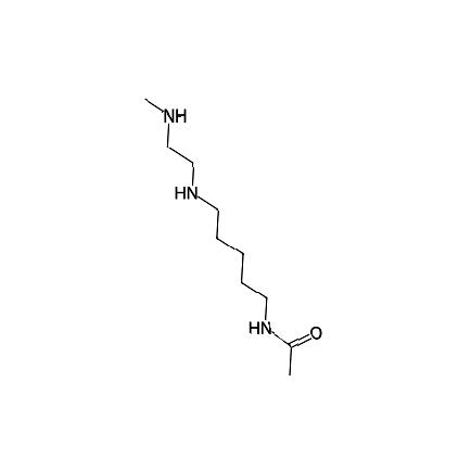 CNCCNCCCCCNC(C)=O